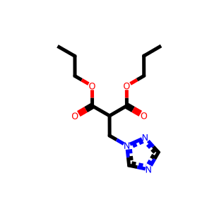 CCCOC(=O)C(Cn1cncn1)C(=O)OCCC